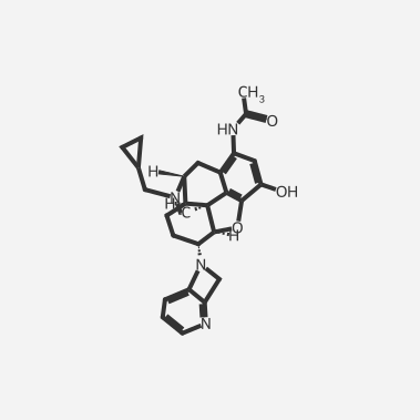 CC(=O)Nc1cc(O)c2c3c1C[C@@H]1[C@@H]4CC[C@@H](N5Cc6ncccc65)[C@H](O2)[C@]34CCN1CC1CC1